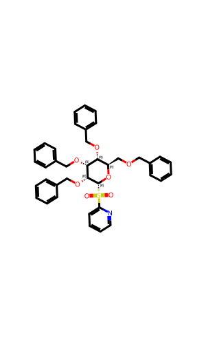 O=S(=O)(c1ccccn1)[C@H]1O[C@H](COCc2ccccc2)[C@@H](OCc2ccccc2)[C@@H](OCc2ccccc2)[C@H]1OCc1ccccc1